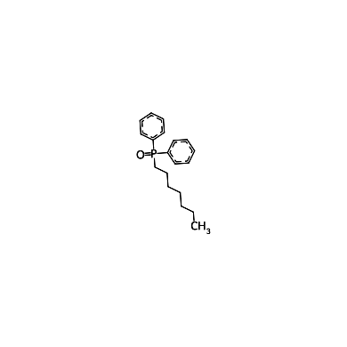 CCCCCCCP(=O)(c1ccccc1)c1ccccc1